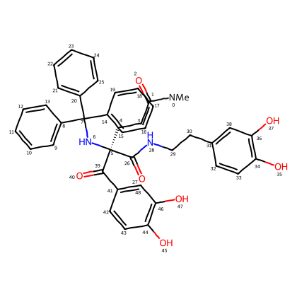 CNC(=O)CC[C@](NC(c1ccccc1)(c1ccccc1)c1ccccc1)(C(=O)NCCc1ccc(O)c(O)c1)C(=O)c1ccc(O)c(O)c1